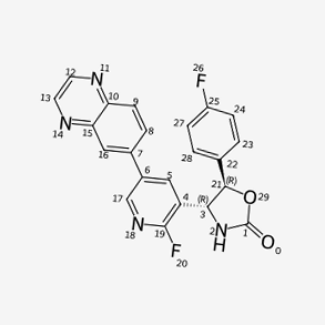 O=C1N[C@H](c2cc(-c3ccc4nccnc4c3)cnc2F)[C@@H](c2ccc(F)cc2)O1